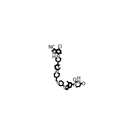 Cc1cc(N2CCC(=O)NC2=O)cc2ccn(C3CCN(CC4CCN(c5ccc(C6CCN(c7ccc(Cl)c8c(C#N)c[nH]c78)CC6)cc5)CC4)CC3)c12